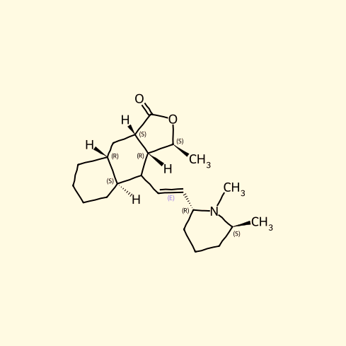 C[C@@H]1OC(=O)[C@H]2C[C@H]3CCCC[C@@H]3C(/C=C/[C@H]3CCC[C@H](C)N3C)[C@@H]12